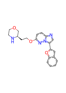 c1ccc2oc(-c3cnc4ccc(OCC[C@@H]5COCCN5)nn34)cc2c1